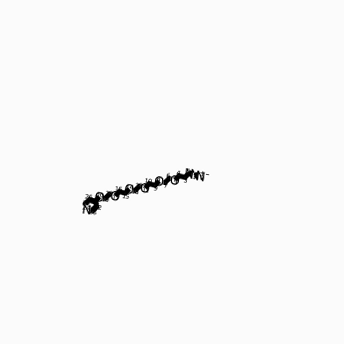 [N-]=[N+]=NCCOCCOCCOCCOCCOCCOc1ccncc1